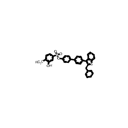 O=C(O)c1ccc(S(=O)(=O)Oc2ccc(-c3ccc(-c4c(Cc5ccccc5)sc5ccccc45)cc3)cc2)cc1O